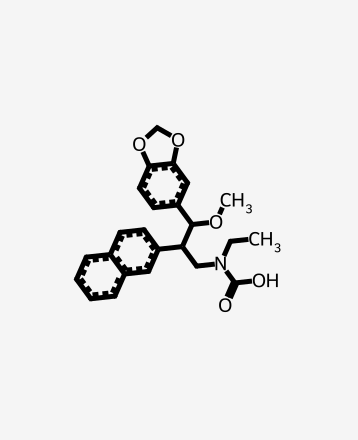 CCN(CC(c1ccc2ccccc2c1)C(OC)c1ccc2c(c1)OCO2)C(=O)O